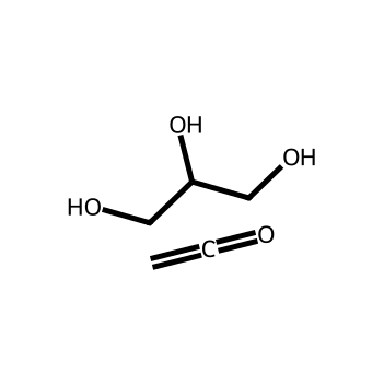 C=C=O.OCC(O)CO